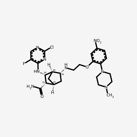 CN1CCN(c2ccc([N+](=O)[O-])cc2OCCN[C@@H]2C[C@@H]3C[C@H]2[C@@H](Nc2nc(Cl)ncc2F)[C@H]3C(N)=O)CC1